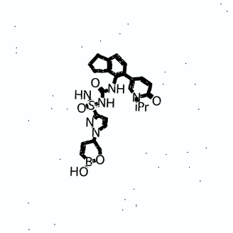 CC(C)n1cc(-c2ccc3c(c2NC(=O)NS(=N)(=O)c2ccn(C4C=CB(O)OC4)n2)CCC3)ccc1=O